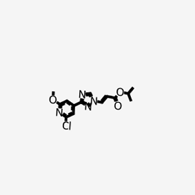 COc1cc(-c2ncn(/C=C/C(=O)OC(C)C)n2)cc(Cl)n1